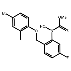 CCc1ccc(OCc2ccc(F)cc2N(O)C(=S)OC)c(C)c1